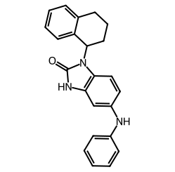 O=c1[nH]c2cc(Nc3ccccc3)ccc2n1C1CCCc2ccccc21